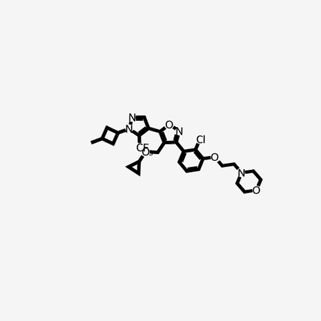 CC1CC(n2ncc(-c3onc(-c4cccc(OCCN5CCOCC5)c4Cl)c3COC3CC3)c2C(F)(F)F)C1